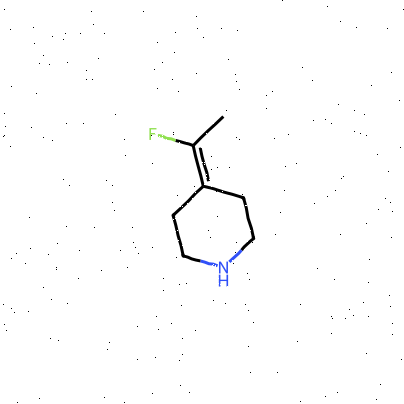 CC(F)=C1CCNCC1